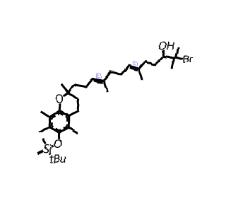 C/C(=C\CCC1(C)CCc2c(C)c(O[Si](C)(C)C(C)(C)C)c(C)c(C)c2O1)CC/C=C(\C)CCC(O)C(C)(C)Br